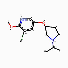 COc1ncc(OC2CCN(C(C)C)C2)cc1Cl